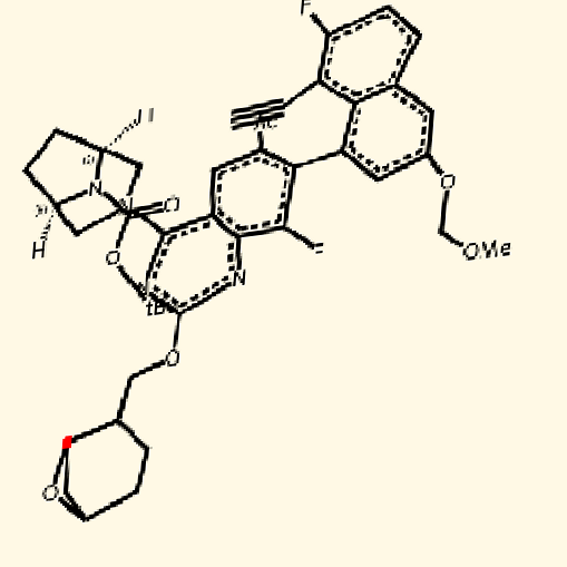 C#Cc1c(F)ccc2cc(OCOC)cc(-c3c(C(C)=O)cc4c(N5C[C@H]6CC[C@@H](C5)N6C(=O)OC(C)(C)C)nc(OCC56CCC(CC5)OC6)nc4c3F)c12